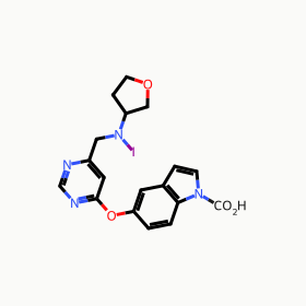 O=C(O)n1ccc2cc(Oc3cc(CN(I)C4CCOC4)ncn3)ccc21